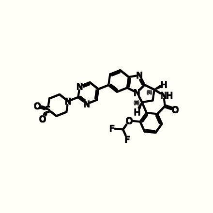 O=C1N[C@@H]2C[C@H](c3c(OC(F)F)cccc31)n1c2nc2ccc(-c3cnc(N4CCS(=O)(=O)CC4)nc3)cc21